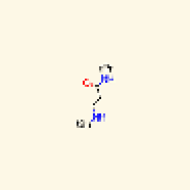 CCCNC(=O)CCNC(C)(C)C